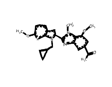 COc1ccc2cc(-c3nc4cc(C(C)=O)cc(OC)c4n3C)n(CC3CC3)c2n1